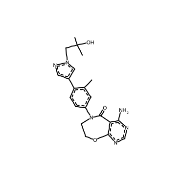 Cc1cc(N2CCOc3ncnc(N)c3C2=O)ccc1-c1cnn(CC(C)(C)O)c1